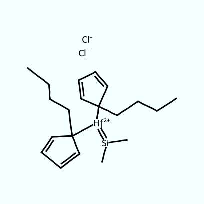 CCCC[C]1([Hf+2](=[Si](C)C)[C]2(CCCC)C=CC=C2)C=CC=C1.[Cl-].[Cl-]